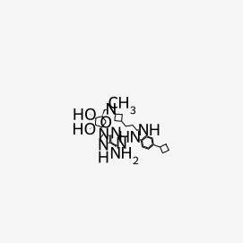 CN(C[C@H]1O[C@@H](N2CNc3c(N)ncnc32)[C@H](O)[C@@H]1O)C1CC(CCC2Nc3ccc(C4CCC4)cc3N2)C1